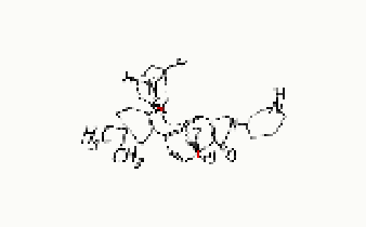 CC1(C)CCC(CN2[C@@H]3C[C@H]2CN(Cc2ccc4c(c2)CN(C2CCCNC2)C4=O)C3)=C(c2ccc(Cl)cc2)C1